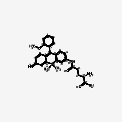 COc1ccccc1C1=C2C=CC(=N)C=C2S(C)(C)c2cc(NC(=O)CC[C@H](N)C(=O)O)ccc21